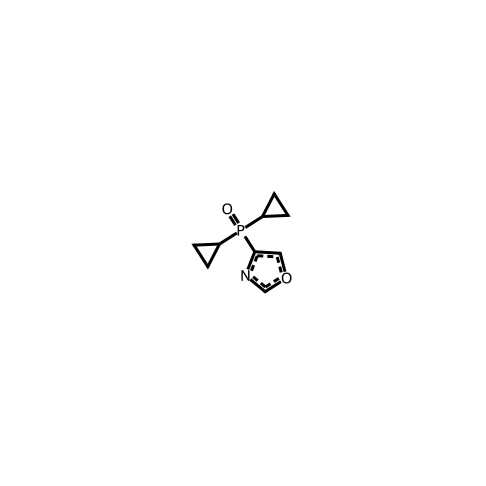 O=P(c1cocn1)(C1CC1)C1CC1